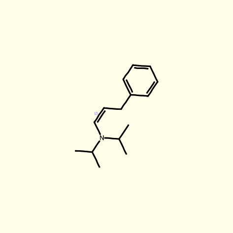 CC(C)N(/C=C\Cc1ccccc1)C(C)C